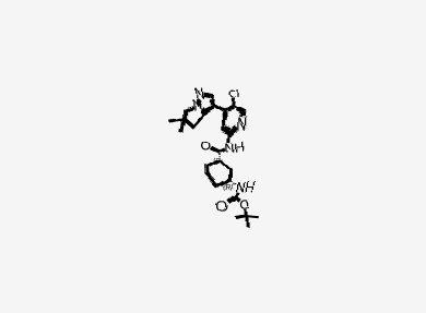 CC1(C)Cc2c(-c3cc(NC(=O)[C@H]4CCC[C@@H](NC(=O)OC(C)(C)C)C4)ncc3Cl)cnn2C1